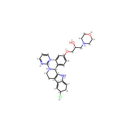 O[C@H](COc1ccc([C@H]2c3[nH]c4c(c3CCN2c2ncccn2)=CC(Cl)CC=4)cc1)CN1CCOCC1